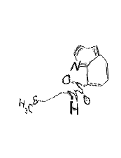 CSCCNS(=O)(=O)c1cccc2cccnc12